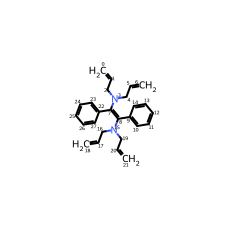 C=CCN(CC=C)C(=C(c1ccccc1)N(CC=C)CC=C)c1ccccc1